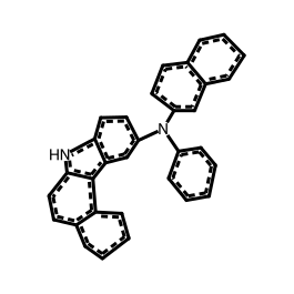 c1ccc(N(c2ccc3ccccc3c2)c2ccc3[nH]c4ccc5ccccc5c4c3c2)cc1